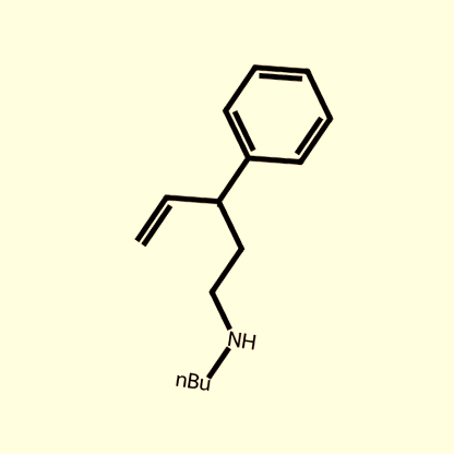 C=C[C](CCNCCCC)c1ccccc1